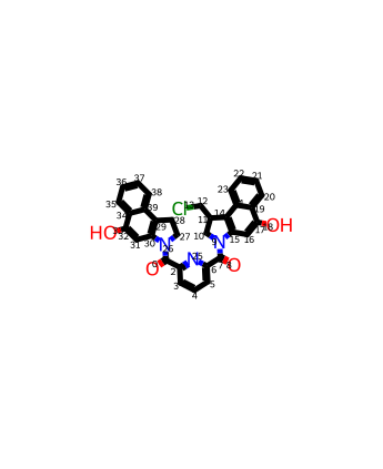 O=C(c1cccc(C(=O)N2CC(CCl)c3c2cc(O)c2ccccc32)n1)N1CCc2c1cc(O)c1ccccc21